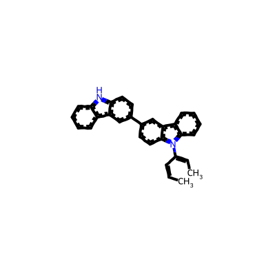 C/C=C\C(=C/C)n1c2ccccc2c2cc(-c3ccc4[nH]c5ccccc5c4c3)ccc21